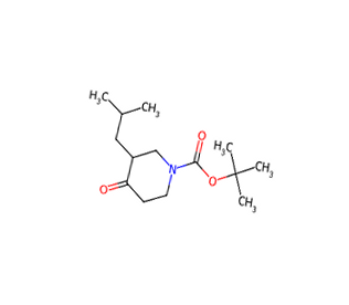 CC(C)CC1CN(C(=O)OC(C)(C)C)CCC1=O